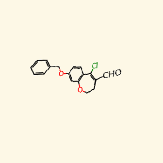 O=CC1=C(Cl)c2ccc(OCc3ccccc3)cc2OCC1